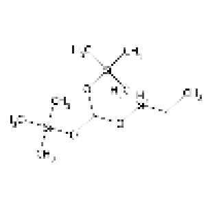 CC[SiH2]OC(O[Si](C)(C)C)O[Si](C)(C)C